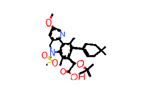 COc1cnc2c(c1)CN(S(C)(=O)=O)c1c(C)c([C@H](OC(C)(C)C)C(=O)O)c(C3=CCC(C)(C)CC3)c(C)c1-2